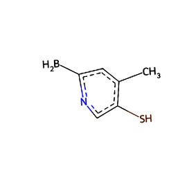 Bc1cc(C)c(S)cn1